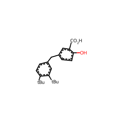 CC(C)(C)c1ccc(Cc2ccc(O)c(C(=O)O)c2)cc1C(C)(C)C